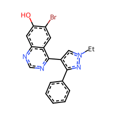 CCn1cc(-c2ncnc3cc(O)c(Br)cc23)c(-c2ccccc2)n1